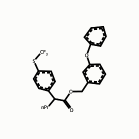 CCCC(C(=O)OCc1cccc(Oc2ccccc2)c1)c1ccc(SC(F)(F)F)cc1